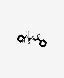 O=C(CSC(=S)Nc1ccccn1)c1ccccc1